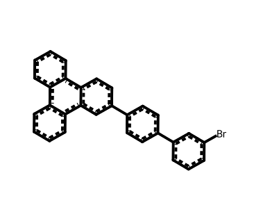 Brc1cccc(-c2ccc(-c3ccc4c5ccccc5c5ccccc5c4c3)cc2)c1